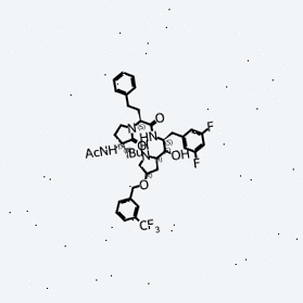 CC[C@@H](C)[C@@]1(NC(C)=O)CCN([C@@H](CCc2ccccc2)C(=O)N[C@@H](Cc2cc(F)cc(F)c2)[C@@H](O)[C@H]2C[C@@H](OCc3cccc(C(F)(F)F)c3)CN2)C1=O